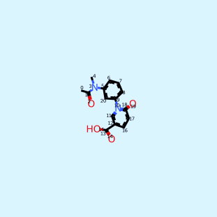 CC(=O)N(C)c1cccc(-n2cc(C(=O)O)ccc2=O)c1